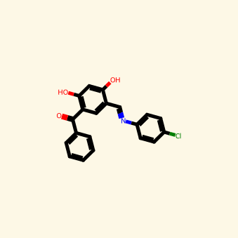 O=C(c1ccccc1)c1cc(C=Nc2ccc(Cl)cc2)c(O)cc1O